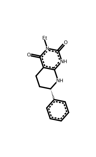 CCn1c(=O)[nH]c2c(c1=O)CC[C@@H](c1ccccc1)N2